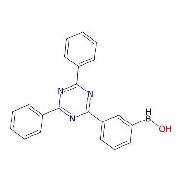 OBc1cccc(-c2nc(-c3ccccc3)nc(-c3ccccc3)n2)c1